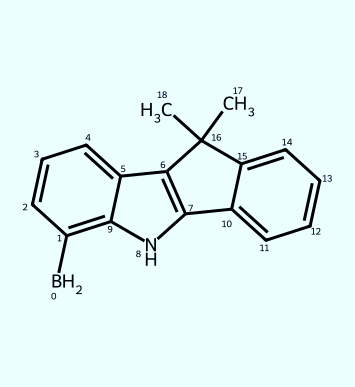 Bc1cccc2c3c([nH]c12)-c1ccccc1C3(C)C